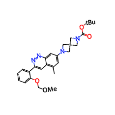 COCOc1ccccc1-c1cc2c(C)cc(N3CC4(CN(C(=O)OC(C)(C)C)C4)C3)cc2nn1